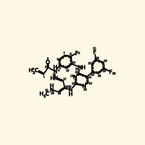 C=CC(=O)Nc1ccc(F)c(Nc2nc(N/C(C=N)=C/NC)ncc2-c2cc(F)cc(F)c2)c1